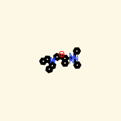 c1ccc(-c2nc(-c3ccccc3)nc(-c3cc4oc5ccc(-n6c7ccc8ccccc8c7c7c8ccccc8ccc76)cc5c4c4ccccc34)n2)cc1